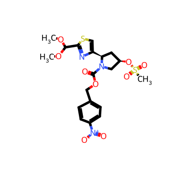 COC(OC)c1nc([C@H]2C[C@@H](OS(C)(=O)=O)CN2C(=O)OCc2ccc([N+](=O)[O-])cc2)cs1